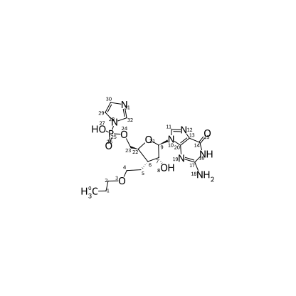 CCCOCC[C@H]1[C@@H](O)[C@H](n2cnc3c(=O)[nH]c(N)nc32)O[C@@H]1COP(=O)(O)n1ccnc1